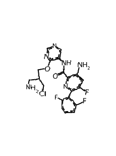 NCC(CCl)COc1ncncc1NC(=O)c1nc(-c2c(F)cccc2F)c(F)cc1N